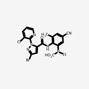 CCN(C(=O)O)c1cc(C#N)cc(C)c1NC(=O)c1cc(Br)nn1-c1ncccc1Cl